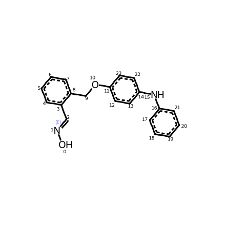 O/N=C/c1ccccc1COc1ccc(Nc2ccccc2)cc1